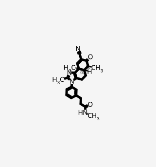 CNC(=O)CCc1cccc(-n2c(C)nc3c2CC[C@H]2[C@H](C)C(=O)C(C#N)=C[C@]32C)c1